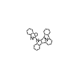 c1ccc2oc(-n3c4ccccc4c4c3c3c5ccccc5c5cccc4n53)nc2c1